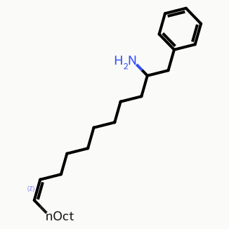 CCCCCCCC/C=C\CCCCCCCC(N)Cc1ccccc1